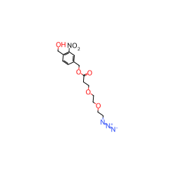 [N-]=[N+]=NCCOCCOCCC(=O)OCc1ccc(CO)c([N+](=O)[O-])c1